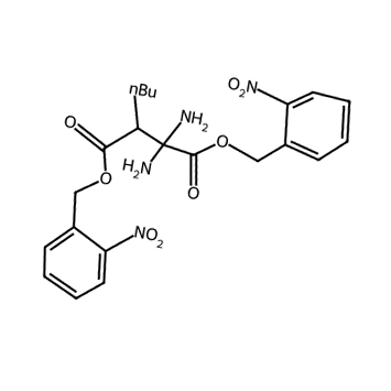 CCCCC(C(=O)OCc1ccccc1[N+](=O)[O-])C(N)(N)C(=O)OCc1ccccc1[N+](=O)[O-]